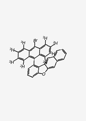 [2H]c1c([2H])c([2H])c2c(-c3cccc4oc5cc6ccccc6cc5c34)c3c([2H])c([2H])c([2H])c([2H])c3c(Br)c2c1[2H]